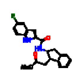 COC(=O)C[C@@H]1c2ccccc2C[C@H]1NC(=O)c1cc2cc(F)ccc2[nH]1